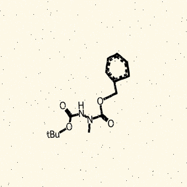 CN(NC(=O)OC(C)(C)C)C(=O)OCc1ccccc1